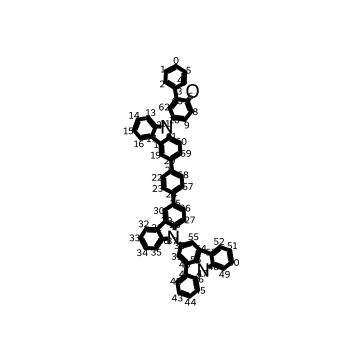 c1ccc2c(c1)oc1ccc(-n3c4ccccc4c4cc(-c5ccc(-c6ccc7c(c6)c6ccccc6n7-c6cc7c8ccccc8n8c9ccccc9c(c6)c78)cc5)ccc43)cc12